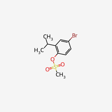 CC(C)c1cc(Br)ccc1OS(C)(=O)=O